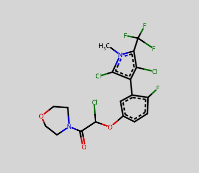 Cn1c(Cl)c(-c2cc(OC(Cl)C(=O)N3CCOCC3)ccc2F)c(Cl)c1C(F)(F)F